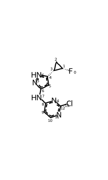 F[C@H]1C[C@H]1c1cc(Nc2ccnc(Cl)n2)n[nH]1